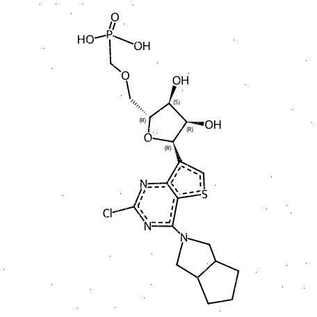 O=P(O)(O)COC[C@H]1O[C@H](c2csc3c(N4CC5CCCC5C4)nc(Cl)nc23)[C@H](O)[C@@H]1O